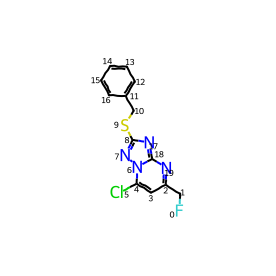 FCc1cc(Cl)n2nc(SCc3ccccc3)nc2n1